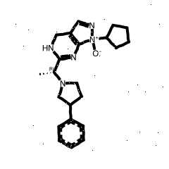 C[C@H](C1=NC2=C(C=N[N+]2([O-])C2CCCC2)CN1)N1CCC(c2ccccc2)C1